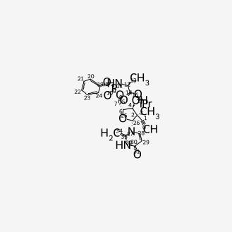 C#C[C@]1(C)[C@H](O)[C@@H](CO[P@](=O)(N[C@@H](C)C(=O)OC(C)C)Oc2ccccc2)O[C@H]1N1C=CC(=O)NC1=C